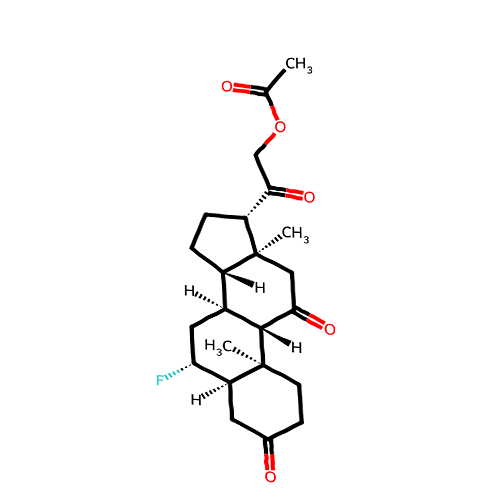 CC(=O)OCC(=O)[C@H]1CC[C@H]2[C@@H]3C[C@@H](F)[C@@H]4CC(=O)CC[C@]4(C)[C@H]3C(=O)C[C@]12C